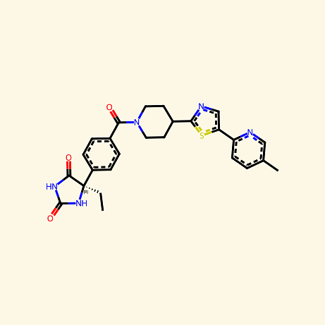 CC[C@]1(c2ccc(C(=O)N3CCC(c4ncc(-c5ccc(C)cn5)s4)CC3)cc2)NC(=O)NC1=O